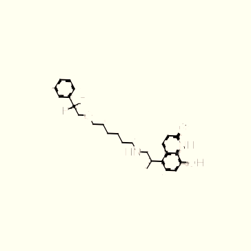 CC(CNCCCCCCOCC(F)(F)c1ccccc1)c1ccc(O)c2[nH]c(=O)ccc12